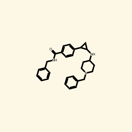 O=C(NCc1ccccc1)c1ccc(C2CC2NC2CCN(Cc3ccccc3)CC2)cc1